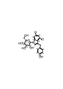 OC[C@H]1O[C@@H](n2cc(Cc3ccc(O)cc3)c3c(Cl)cc(Cl)cc32)[C@H](O)[C@@H](O)[C@@H]1O